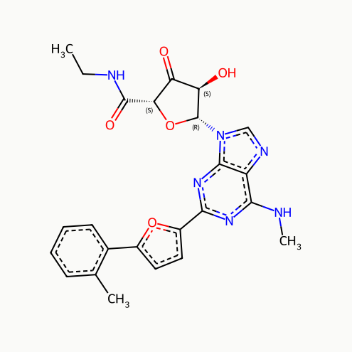 CCNC(=O)[C@H]1O[C@@H](n2cnc3c(NC)nc(-c4ccc(-c5ccccc5C)o4)nc32)[C@H](O)C1=O